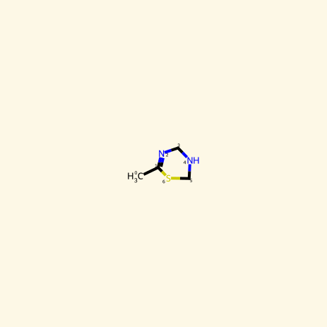 CC1=NCNCS1